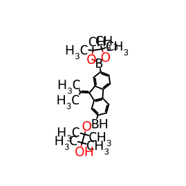 CC(C)=C1c2cc(BOC(C)(C)C(C)(C)O)ccc2-c2ccc(B3OC(C)(C)C(C)(C)O3)cc21